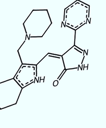 O=C1NN=C(c2ncccn2)C1=Cc1[nH]c2c(c1CN1CCCCC1)CCCC2